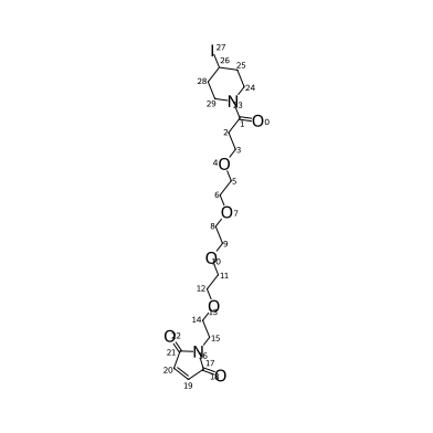 O=C(CCOCCOCCOCCOCCN1C(=O)C=CC1=O)N1CCC(I)CC1